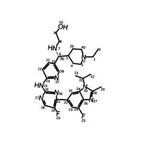 CCN1CCC([C@@H](NCCO)c2ccc(Nc3ncc(F)c(-c4cc(F)c5nc(C)n(C(C)C)c5c4)n3)nc2)CC1